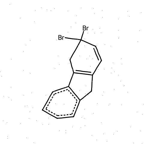 BrC1(Br)C=CC2=C(C1)c1ccccc1C2